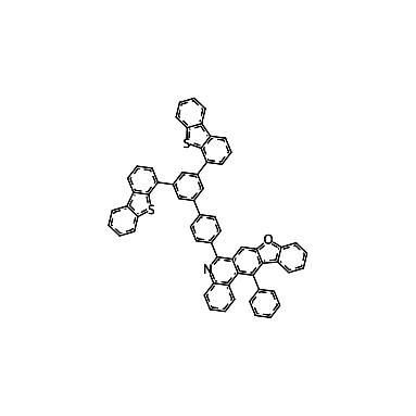 c1ccc(-c2c3c(cc4c(-c5ccc(-c6cc(-c7cccc8c7sc7ccccc78)cc(-c7cccc8c7sc7ccccc78)c6)cc5)nc5ccccc5c24)oc2ccccc23)cc1